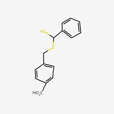 O=C(O)c1ccc(CSC(S)c2ccccc2)cc1